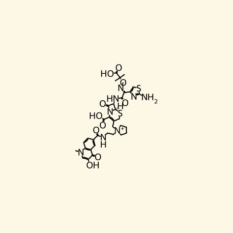 Cn1cc(O)c(=O)c2cc(C(=O)NCC[N+]3(CC4=C(C(=O)O)N5C(=O)[C@@H](NC(=O)C(=NOC(C)(C)C(=O)O)c6csc(N)n6)[C@H]5SC4)CCCC3)ccc21